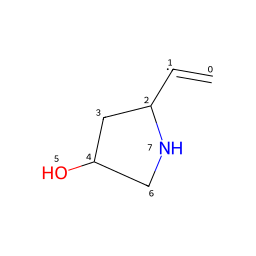 C=[C]C1CC(O)CN1